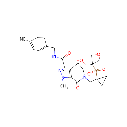 Cn1nc(C(=O)NCc2ccc(C#N)cc2)c2c1C(=O)N(CC1(S(=O)(=O)C3(CO)COC3)CC1)CC2